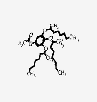 CCCCCCC(C)Oc1cc(OC(C)=O)cc(OC(C)CCCCCC)c1OC(C)CCCCCC